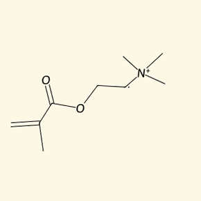 C=C(C)C(=O)OC[CH][N+](C)(C)C